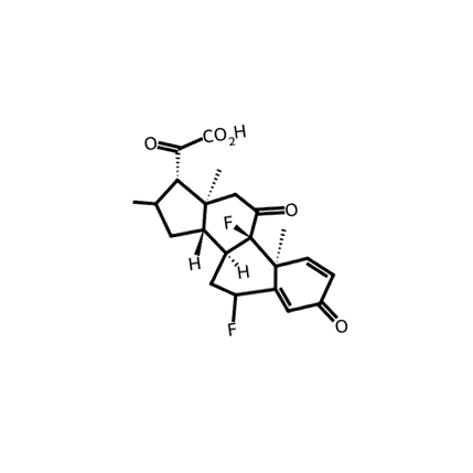 CC1C[C@H]2[C@@H]3CC(F)C4=CC(=O)C=C[C@]4(C)[C@@]3(F)C(=O)C[C@]2(C)[C@H]1C(=O)C(=O)O